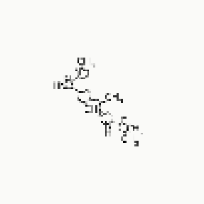 C=C(C)CC(=O)[C@H]1CC=C(CC(=C/C)/C=C2/C=C/C=C(c3c[nH]nc3-c3cccc(C)n3)/C=C\C2=C)CCN1